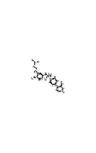 CN(C)CCOc1cc(NS(=O)(=O)c2ccc(-c3ccccc3Cl)cc2)ccc1Cl